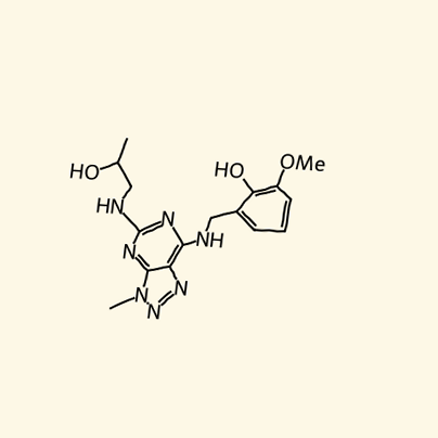 COc1cccc(CNc2nc(NCC(C)O)nc3c2nnn3C)c1O